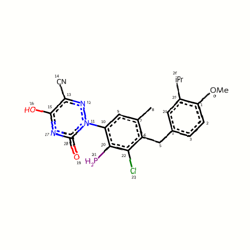 COc1ccc(Cc2c(C)cc(-n3nc(C#N)c(O)nc3=O)c(P)c2Cl)cc1C(C)C